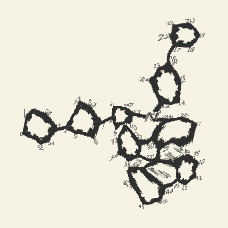 c1ccc(-c2ccc(-c3ccc(N(c4ccc(-c5ccccc5)cc4)c4cccc5c4-c4ccccc4C54c5ccccc5-c5ccccc54)cc3)cc2)cc1